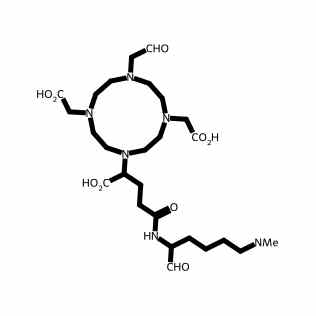 CNCCCCC(C=O)NC(=O)CCC(C(=O)O)N1CCN(CC(=O)O)CCN(CC=O)CCN(CC(=O)O)CC1